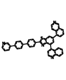 c1cncc(-c2ccc(-c3ccc(-c4nc5c(-c6ccnc7ccccc67)cc(-c6cccc7cnccc67)cc5s4)cc3)cc2)c1